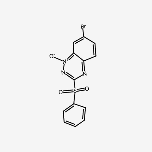 O=S(=O)(c1ccccc1)c1nc2ccc(Br)cc2[n+]([O-])n1